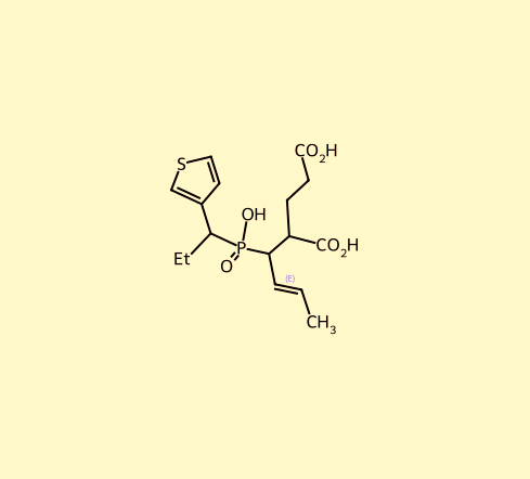 C/C=C/C(C(CCC(=O)O)C(=O)O)P(=O)(O)C(CC)c1ccsc1